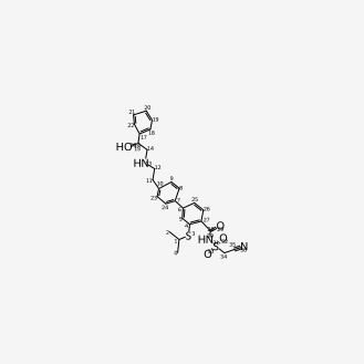 CC(C)Sc1cc(-c2ccc(CCNC[C@@H](O)c3ccccc3)cc2)ccc1C(=O)NS(=O)(=O)CC#N